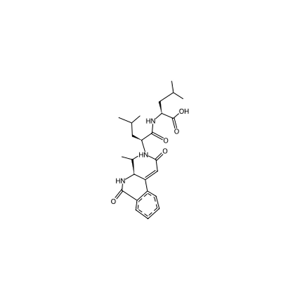 CC(C)C[C@H](NC(=O)[C@H](CC(C)C)NC(=O)/C=C1/c2ccccc2C(=O)N[C@H]1C(C)C)C(=O)O